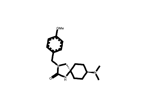 COc1ccc(CN2C[C@]3(CC[C@H](N(C)C)CC3)NC2=O)cc1